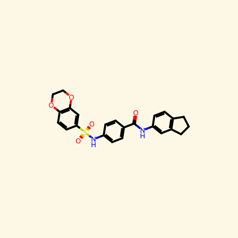 O=C(Nc1ccc2c(c1)CCC2)c1ccc(NS(=O)(=O)c2ccc3c(c2)OCCO3)cc1